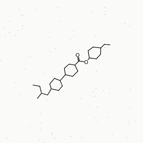 CCC(C)CC1CCC(C2CCC(C(=O)OC3CCC(CC)CC3)CC2)CC1